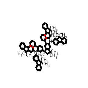 CC1(C)CC(C)(c2ccc(-c3ccccc3)c(N(c3ccc4c(c3)C(C)(C)c3ccccc3-4)c3ccc4c(c3)C(C)(C)c3ccccc3-4)c2)c2cc(-c3ccccc3)c(N(c3ccc4c(c3)C(C)(C)c3ccccc3-4)c3ccc4c(c3)C(C)(C)c3ccccc3-4)cc21